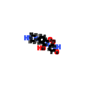 O=C1CCC(N2C(=O)c3ccc(N4CCNCC4)cc3C2O)C(=O)N1